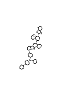 c1ccc(-c2ccc(N(c3ccccc3)c3ccc(-c4cccc5c4oc4c6ccccc6c(-c6ccc(-c7nc8ccccc8o7)c7ccccc67)cc54)cc3)cc2)cc1